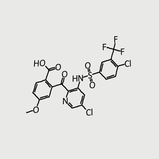 COc1ccc(C(=O)O)c(C(=O)c2ncc(Cl)cc2NS(=O)(=O)c2ccc(Cl)c(C(F)(F)F)c2)c1